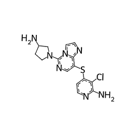 Nc1nccc(Sc2cnc(N3CCC(N)C3)n3ccnc23)c1Cl